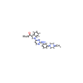 CNC(=O)C1CN(c2ccnc(Nc3cccc(N4CCN(C)CC4)c3)n2)c2ccccc21